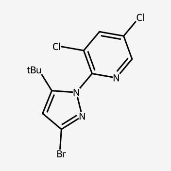 CC(C)(C)c1cc(Br)nn1-c1ncc(Cl)cc1Cl